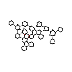 c1ccc(-c2nc(-c3ccccc3)nc(-c3ccc(-c4cccnc4)c(-c4cc5c6ccc(-c7cccc(-c8nc(-c9ccccc9)nc(-c9cccc(-c%10cc%11c%12ccccc%12c%12ccccc%12c%11c%11ccccc%10%11)c9-c9cccnc9)n8)c7)cc6c6ccccc6c5c5ccccc45)c3)n2)cc1